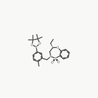 CC[C@@H]1CN(Cc2cc(B3OC(C)(C)C(C)(C)O3)ccc2C)S(=O)(=O)c2ccccc2O1